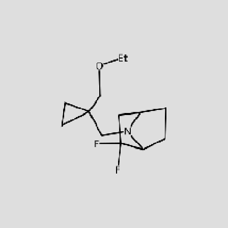 CCOCC1(CN2C3CCC2C(F)(F)C3)CC1